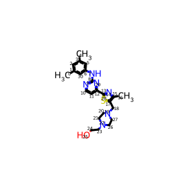 Cc1cc(C)cc(Nc2nccc(-c3nc(C)c(CN4CCN(CCO)CC4)s3)n2)c1